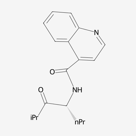 CCC[C@@H](NC(=O)c1ccnc2ccccc12)C(=O)C(C)C